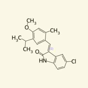 COc1cc(C)c(/C=C2\C(=O)Nc3ccc(Cl)cc32)cc1C(C)C